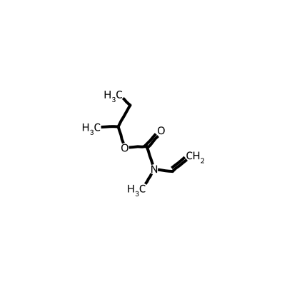 C=CN(C)C(=O)OC(C)CC